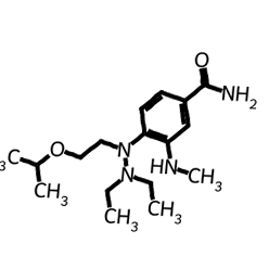 CCN(CC)N(CCOC(C)C)c1ccc(C(N)=O)cc1NC